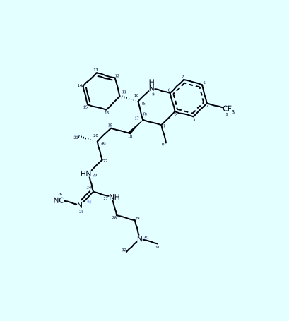 CC1c2cc(C(F)(F)F)ccc2N[C@@H](C2C=CC=CC2)[C@@H]1CC[C@@H](C)CN/C(=N\C#N)NCCN(C)C